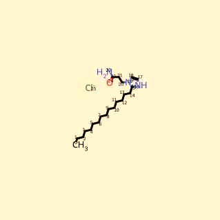 CCCCCCCCCCCCCCCc1[nH]cc[n+]1CCC(N)=O.[Cl-]